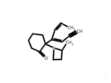 C#C/C=C(\C=C/C)C1(N2CCC2C)CCCCC1=O